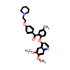 COc1cc2nccc(Oc3ccc(C)cc3C(=O)c3ccc(OCCN4CCCCC4)cc3)c2cc1OC